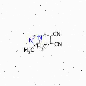 Cc1cn(CC(C#N)C(C)C#N)cn1